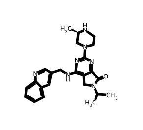 CC(C)N1Cc2c(NCc3cnc4ccccc4c3)nc(N3CCN[C@H](C)C3)nc2C1=O